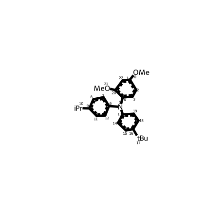 COc1ccc(N(c2ccc(C(C)C)cc2)c2ccc(C(C)(C)C)cc2)c(OC)c1